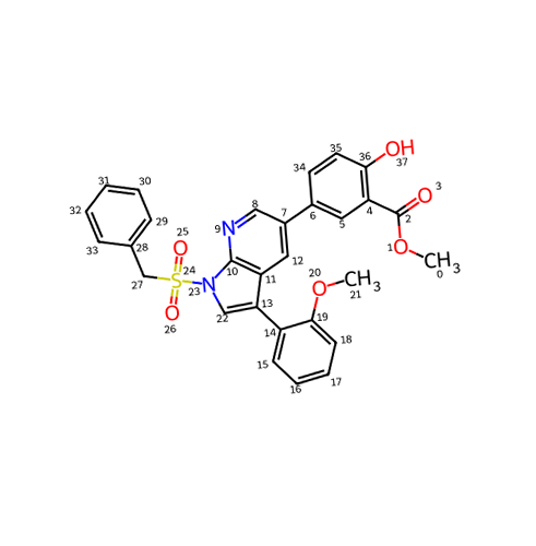 COC(=O)c1cc(-c2cnc3c(c2)c(-c2ccccc2OC)cn3S(=O)(=O)Cc2ccccc2)ccc1O